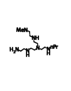 CCCNCCN(CCNCCN)CCNCCNC